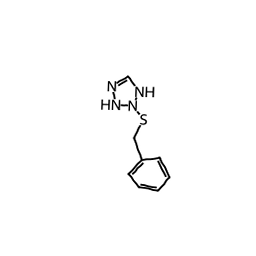 C1=NNN(SCc2ccccc2)N1